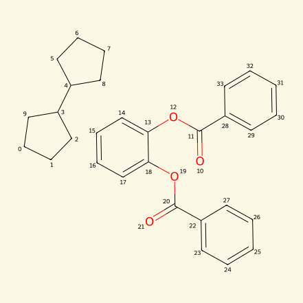 C1CCC(C2CCCC2)C1.O=C(Oc1ccccc1OC(=O)c1ccccc1)c1ccccc1